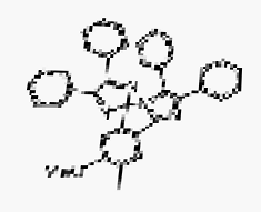 COc1cc2c(cc1C)-c1nc(-c3ccccc3)c(-c3ccccc3)n1C21N=C(c2ccccc2)C(c2ccccc2)=N1